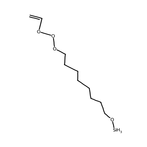 C=COOOCCCCCCCCO[SiH3]